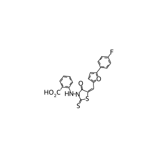 O=C(O)c1ccccc1NN1C(=O)/C(=C\c2ccc(-c3ccc(F)cc3)o2)SC1=S